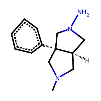 CN1C[C@@H]2CN(N)C[C@]2(c2ccccc2)C1